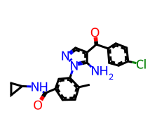 Cc1ccc(C(=O)NC2CC2)cc1-n1ncc(C(=O)c2ccc(Cl)cc2)c1N